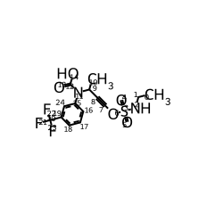 CCNS(=O)(=O)OC#CC(C)N(C(=O)O)c1cccc(C(F)(F)F)c1